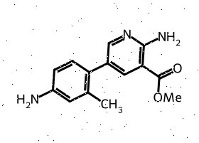 COC(=O)c1cc(-c2ccc(N)cc2C)cnc1N